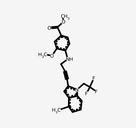 COC(=O)c1ccc(NCC#Cc2cc3c(C)cccc3n2CC(F)(F)F)c(OC)c1